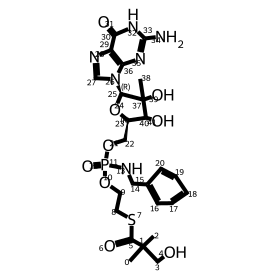 CC(C)(CO)C(=O)SCCOP(=O)(NCc1ccccc1)OC[C@H]1O[C@@H](n2cnc3c(=O)[nH]c(N)nc32)C(C)(O)C1O